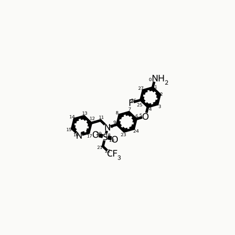 Nc1ccc(Oc2ccc(N(Cc3cccnc3)S(=O)(=O)CC(F)(F)F)cc2)c(F)c1